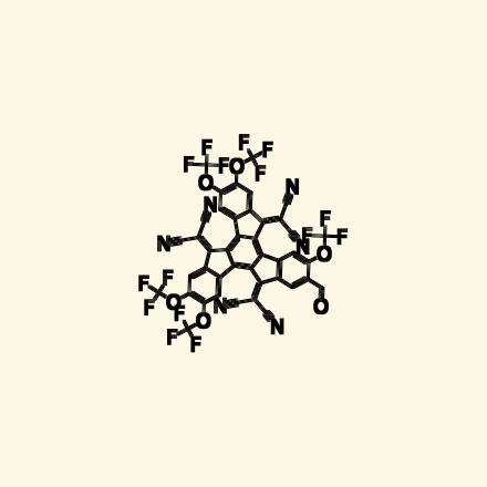 N#CC(C#N)=C1c2cc(OC(F)(F)F)c(OC(F)(F)F)cc2-c2c1c1c(c3c2C(=C(C#N)C#N)c2cc(OC(F)(F)F)c(OC(F)(F)F)cc2-3)C(=C(C#N)C#N)c2cc(C=O)c(OC(F)(F)F)cc2-1